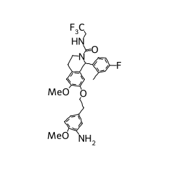 COc1ccc(CCOc2cc3c(cc2OC)CCN(C(=O)NCC(F)(F)F)C3c2ccc(F)cc2C)cc1N